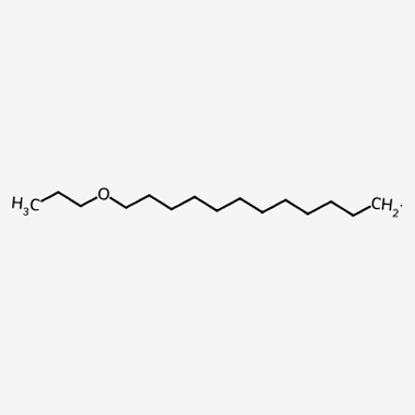 [CH2]CCCCCCCCCCCOCCC